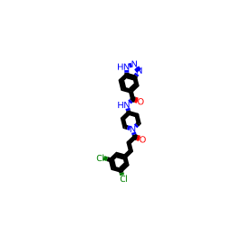 O=C(NC1CCN(C(=O)CCc2cc(Cl)cc(Cl)c2)CC1)c1ccc2[nH]nnc2c1